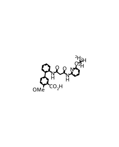 [2H]C([2H])([2H])Oc1cccc(NC(=O)CC(=O)Nc2ccccc2-c2ccc(OC)c(C(=O)O)c2)n1